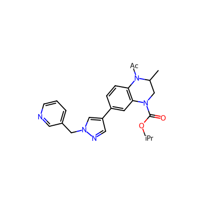 CC(=O)N1c2ccc(-c3cnn(Cc4cccnc4)c3)cc2N(C(=O)OC(C)C)CC1C